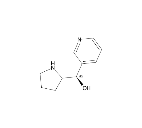 O[C@H](c1cccnc1)C1CCCN1